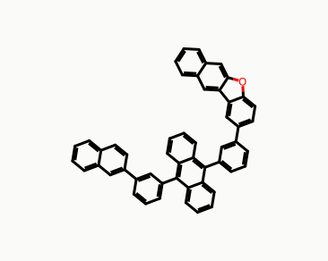 c1cc(-c2ccc3ccccc3c2)cc(-c2c3ccccc3c(-c3cccc(-c4ccc5oc6cc7ccccc7cc6c5c4)c3)c3ccccc23)c1